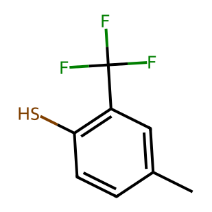 Cc1ccc(S)c(C(F)(F)F)c1